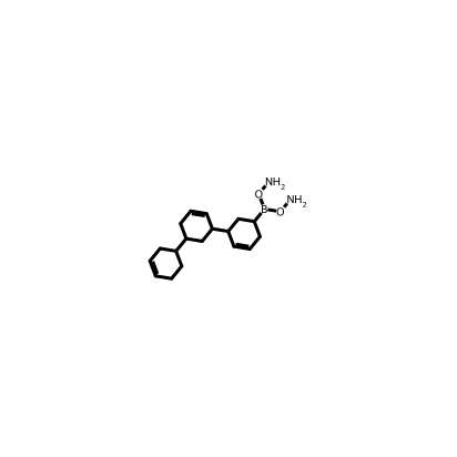 NOB(ON)C1CC=CC(C2C=CCC(C3CC=CCC3)C2)C1